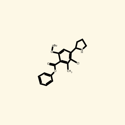 CCCCOc1cc(C2CCCN2)c(Cl)c(C)c1C(=O)Oc1ccccc1